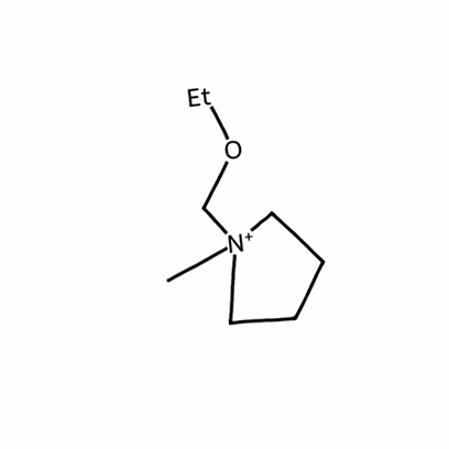 CCOC[N+]1(C)CCCC1